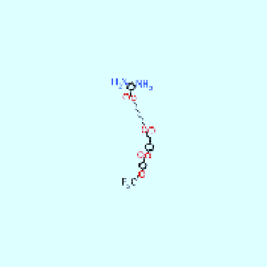 Nc1cc(N)cc(C(=O)OCCCCCCCCOC(=O)C=Cc2ccc(OC(=O)c3ccc(OCCC(F)(F)F)cc3)cc2)c1